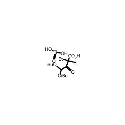 CCC(CC)(C(=O)O)C(=O)C(OCC(C)C)OCC(C)C.[O]=[Ti]([OH])[OH]